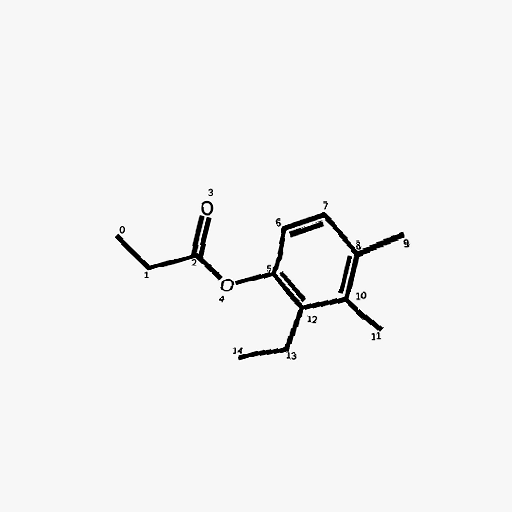 CCC(=O)Oc1ccc(C)c(C)c1CC